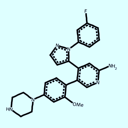 COc1cc(N2CCNCC2)ccc1-c1cnc(N)cc1-c1ccnn1-c1cccc(F)c1